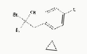 CCC(C#N)(CC)Cc1ccc(Cl)cc1C1CC1